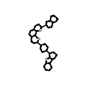 c1ccc2cc(-c3ccc4ccc5ccc(-c6ccc(-c7cccc8c7sc7ccccc78)cc6)nc5c4n3)ccc2c1